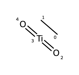 CC.[O]=[Ti]=[O]